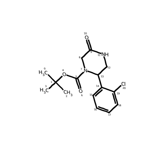 CC(C)(C)OC(=O)N1CC(=O)NCC1c1ccccc1Cl